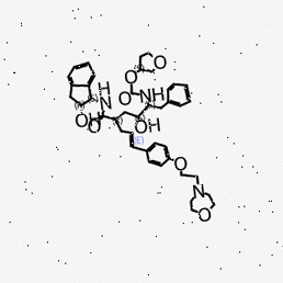 O=C(N[C@@H](Cc1ccccc1)[C@@H](O)C[C@@H](C/C=C/c1ccc(OCCN2CCOCC2)cc1)C(=O)N[C@H]1c2ccccc2C[C@H]1O)O[C@H]1CCOC1